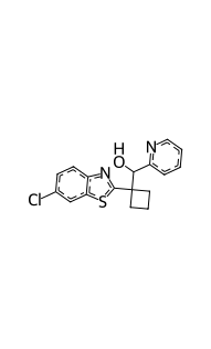 OC(c1ccccn1)C1(c2nc3ccc(Cl)cc3s2)CCC1